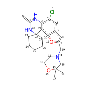 C=C1Nc2c(Cl)cc3cc(CN4CCOC(C)(C)C4)oc3c2C2(CCCCC2)N1